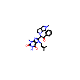 CC(C)=CCn1c(C(C(=O)c2ccccc2)N2CCC3CN(C)CC32)nc2c1c(=O)[nH]c(=O)n2C